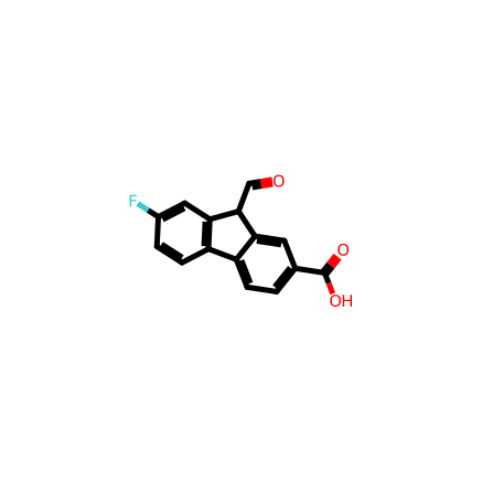 O=CC1c2cc(F)ccc2-c2ccc(C(=O)O)cc21